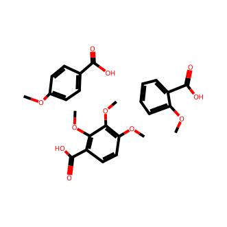 COc1ccc(C(=O)O)c(OC)c1OC.COc1ccc(C(=O)O)cc1.COc1ccccc1C(=O)O